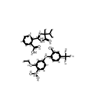 CC(C)C1(C)N=C(c2ncccc2C(=O)O)NC1=O.CCOc1cc(Oc2ccc(C(F)(F)F)cc2Cl)ccc1[N+](=O)[O-]